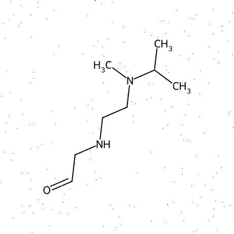 CC(C)N(C)CCNCC=O